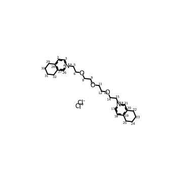 [Cl-].[Cl-].c1c[n+](CCOCCOCCOCC[n+]2ccc3c(c2)CCCC3)cc2c1CCCC2